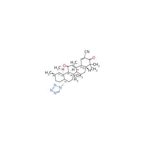 C[C@@H]1[C@H]2[C@H]3C(=O)C=C4[C@@]5(C)C=C(C#N)C(=O)C(C)(C)[C@@H]5CC[C@@]4(C)[C@]3(C)CC[C@@]2(Cn2cnnn2)CC[C@H]1C